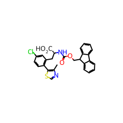 Cc1ncsc1-c1ccc(Cl)cc1C[C@H](NC(=O)OCC1c2ccccc2-c2ccccc21)C(=O)O